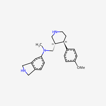 COc1ccc([C@@H]2CCNC[C@H]2CN(C)c2ccc3c(c2)CNC3)cc1